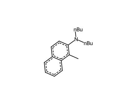 CCCCN(CCCC)c1ccc2ccccc2c1C